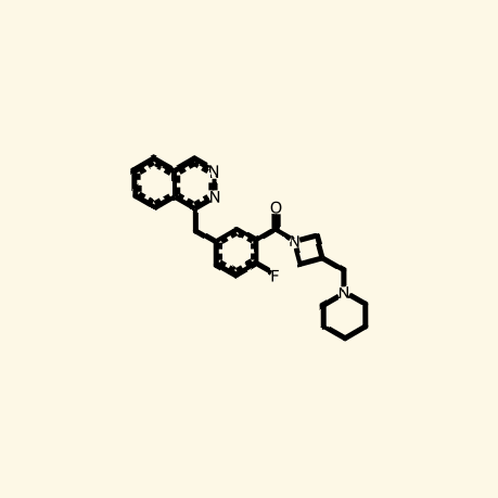 O=C(c1cc(Cc2nncc3ccccc23)ccc1F)N1CC(CN2CCCCC2)C1